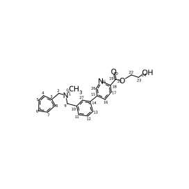 CN(Cc1ccccc1)Cc1cccc(-c2ccc(C(=O)OCCO)nc2)c1